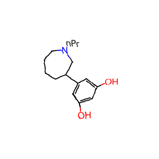 CCCN1CCCCC(c2cc(O)cc(O)c2)C1